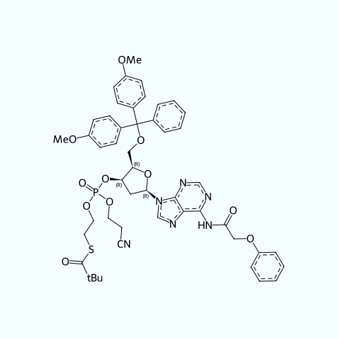 COc1ccc(C(OC[C@H]2O[C@@H](n3cnc4c(NC(=O)COc5ccccc5)ncnc43)C[C@H]2OP(=O)(OCCC#N)OCCSC(=O)C(C)(C)C)(c2ccccc2)c2ccc(OC)cc2)cc1